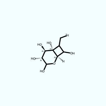 [2H]CC1C(O)[C@H]2OC(O)[C@H](O)[C@@H](O)[C@@]12O